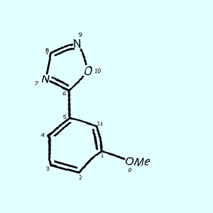 COc1cccc(-c2n[c]no2)c1